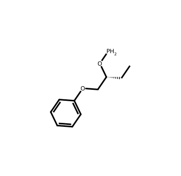 CC[C@H](COc1ccccc1)OP